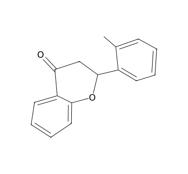 Cc1ccccc1C1CC(=O)c2ccccc2O1